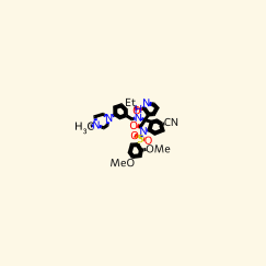 CCOc1ncccc1C1(NCc2cccc(N3CCN(C)CC3)c2)C(=O)N(S(=O)(=O)c2ccc(OC)cc2OC)c2ccc(C#N)cc21